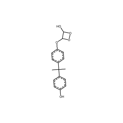 CC(C)(c1ccc(O)cc1)c1ccc(OC2OOC2O)cc1